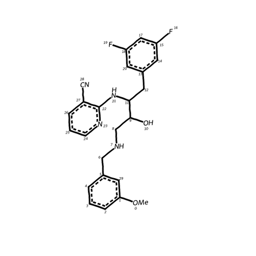 COc1cccc(CNCC(O)C(Cc2cc(F)cc(F)c2)Nc2ncccc2C#N)c1